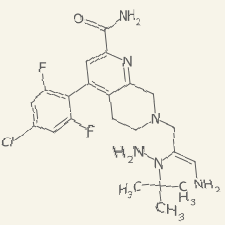 CC(C)(C)N(N)/C(=C\N)CN1CCc2c(-c3c(F)cc(Cl)cc3F)cc(C(N)=O)nc2C1